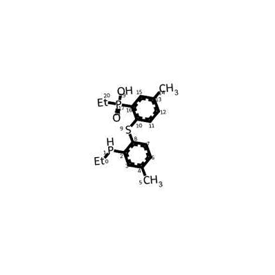 CCPc1cc(C)ccc1Sc1ccc(C)cc1P(=O)(O)CC